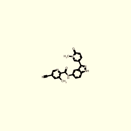 Cc1cc(C#N)cnc1C(=O)Nc1ccc2[nH]nc(-c3ccc(=O)n(C)c3)c2c1